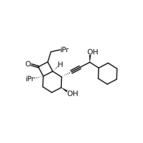 CC(C)CC1C(=O)[C@]2(C(C)C)CC[C@H](O)[C@@H](C#C[C@@H](O)C3CCCCC3)[C@H]12